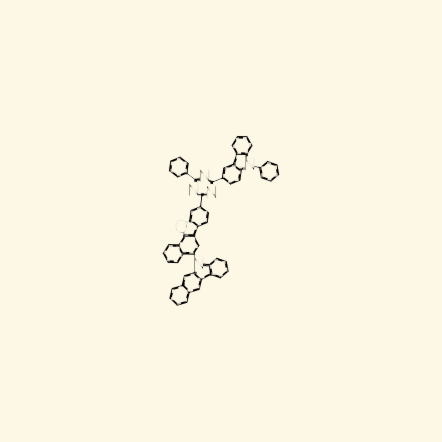 c1ccc(-c2nc(-c3ccc4c(c3)oc3c5ccccc5c(-n5c6ccccc6c6cc7ccccc7cc65)cc43)nc(-c3ccc4c(c3)c3ccccc3n4-c3ccccc3)n2)cc1